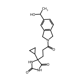 CC(O)c1ccc2c(c1)CN(C(=O)CCC1(C3CC3)NC(=O)NC1=O)C2